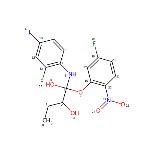 CCC(O)C(O)(Nc1ccc(I)cc1F)Oc1cc(F)ccc1[N+](=O)[O-]